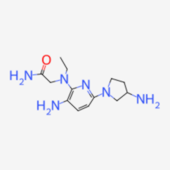 CCN(CC(N)=O)c1nc(N2CCC(N)C2)ccc1N